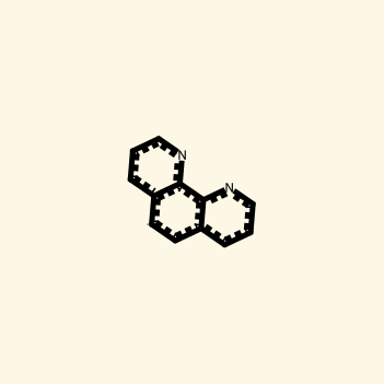 [c]1cc2cccnc2c2ncccc12